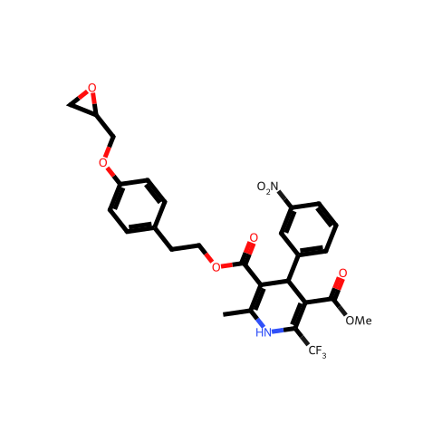 COC(=O)C1=C(C(F)(F)F)NC(C)=C(C(=O)OCCc2ccc(OCC3CO3)cc2)C1c1cccc([N+](=O)[O-])c1